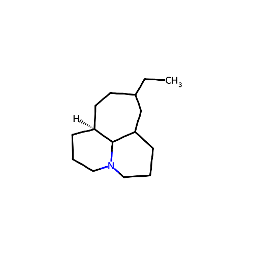 CCC1CC[C@@H]2CCCN3CCCC(C1)C23